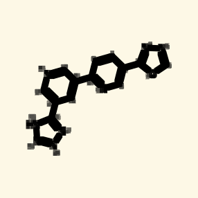 [c]1cc(-c2nnco2)cnc1-c1cncc(-c2nnn[nH]2)c1